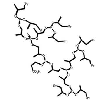 CC(C)CC(C)OP(OC(C)CC(C)C)SCC(C)OP(OC(C)CSP(OC(C)CC(C)C)OC(C)CC(C)C)SCC(C)OP(OC(C)CSP(=S)(OC(C)CSP(OC(C)CC(C)C)OC(C)CC(C)C)OC(C)CSP(OC(C)CC(C)C)OC(C)CC(C)C)SCCC(=O)O